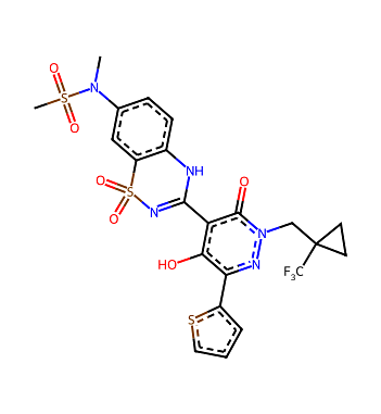 CN(c1ccc2c(c1)S(=O)(=O)N=C(c1c(O)c(-c3cccs3)nn(CC3(C(F)(F)F)CC3)c1=O)N2)S(C)(=O)=O